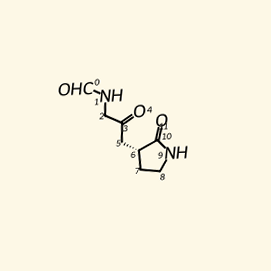 O=CNCC(=O)C[C@H]1CCNC1=O